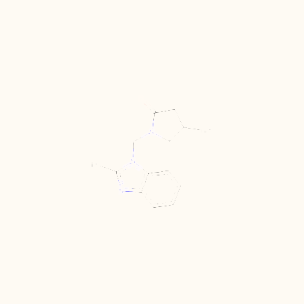 CCCC1CC(=O)N(Cn2c(C(C)C)nc3ccccc32)C1